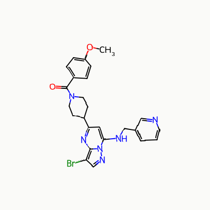 COc1ccc(C(=O)N2CCC(c3cc(NCc4cccnc4)n4ncc(Br)c4n3)CC2)cc1